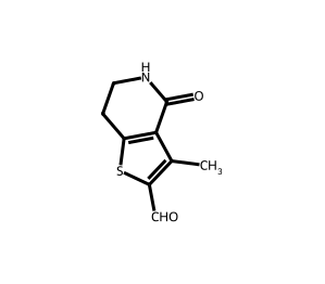 Cc1c(C=O)sc2c1C(=O)NCC2